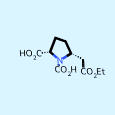 CCOC(=O)C[C@H]1CC[C@@H](C(=O)O)N1C(=O)O